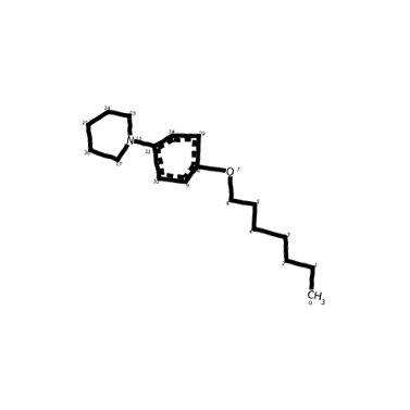 CCCCCCCOc1ccc(N2CCCCC2)cc1